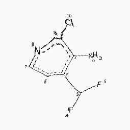 Nc1c(C(F)F)ccnc1Cl